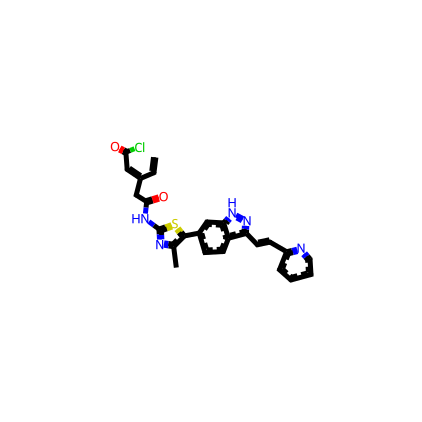 C=C/C(=C\C(=O)Cl)CC(=O)Nc1nc(C)c(-c2ccc3c(/C=C/c4ccccn4)n[nH]c3c2)s1